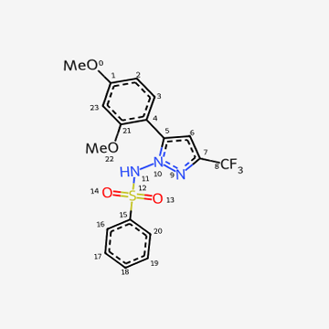 COc1ccc(-c2cc(C(F)(F)F)nn2NS(=O)(=O)c2ccccc2)c(OC)c1